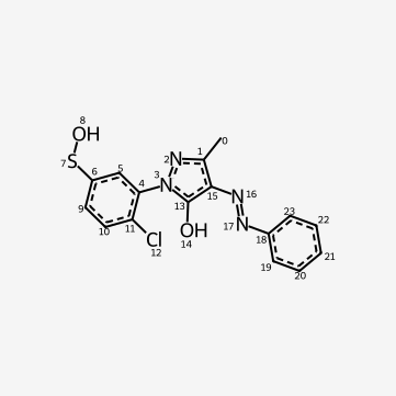 Cc1nn(-c2cc(SO)ccc2Cl)c(O)c1N=Nc1ccccc1